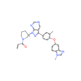 C=CC(=O)N1CCC[C@@H](n2nc(-c3ccc(Oc4ccc5c(c4)ncn5C)c(C)c3)c3cncnc32)C1